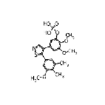 COc1cc(-c2sncc2-c2cc(OC)c(OC)c(OP(=O)(O)O)c2)cc(C)c1C